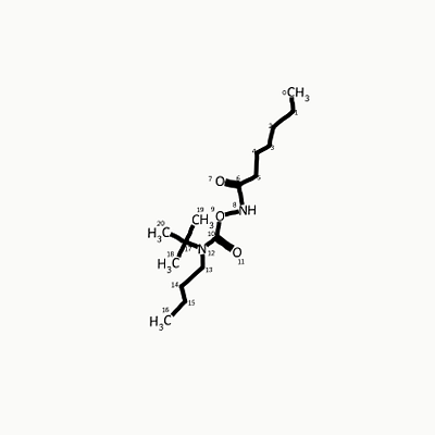 CCCCCCC(=O)NOC(=O)N(CCCC)C(C)(C)C